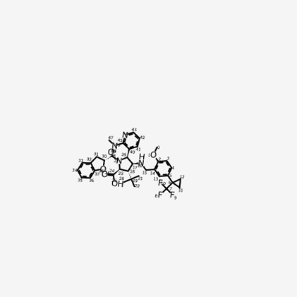 COc1ccc(C2(C(F)(F)F)CC2)cc1CN[C@H]1[C@H](C(C)(C)C)[C@@H](C(=O)O)N(C(=O)[C@H]2Cc3ccccc3O2)[C@H]1c1cccnc1N(C)C